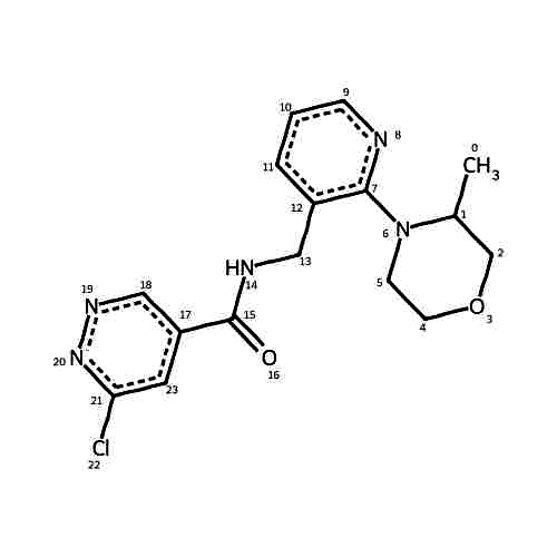 CC1COCCN1c1ncccc1CNC(=O)c1cnnc(Cl)c1